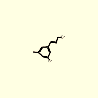 BrCC=Cc1cc(Br)cc(I)c1